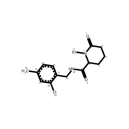 CCN1C(=O)CCCC1C(=O)NCc1ccc(C)cc1Cl